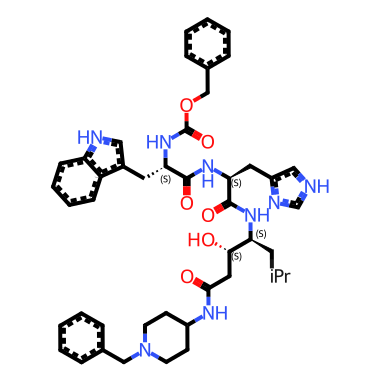 CC(C)C[C@H](NC(=O)[C@H](Cc1c[nH]cn1)NC(=O)[C@H](Cc1c[nH]c2ccccc12)NC(=O)OCc1ccccc1)[C@@H](O)CC(=O)NC1CCN(Cc2ccccc2)CC1